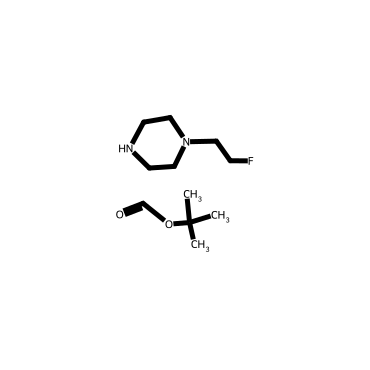 CC(C)(C)OC=O.FCCN1CCNCC1